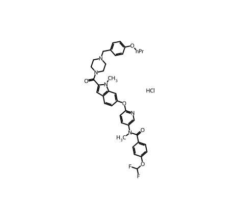 CCCOc1ccc(CN2CCN(C(=O)c3cc4ccc(Oc5ccc(N(C)C(=O)c6ccc(OC(F)F)cc6)cn5)cc4n3C)CC2)cc1.Cl